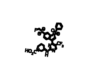 O=C(O)N1CCC[C@H](Nc2ncc(C(F)(F)F)c(-c3cn(S(=O)(=O)c4ccccc4)c4cc(S(=O)(=O)CF)ccc34)n2)C1